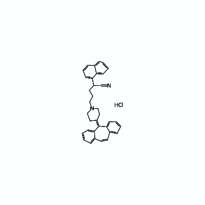 Cl.N#CC(CCCN1CCC(=C2c3ccccc3C=Cc3ccccc32)CC1)c1cccc2ccccc12